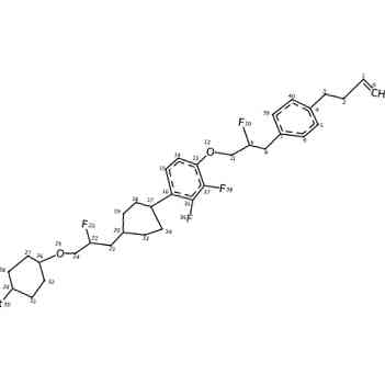 C=CCCc1ccc(CC(F)COc2ccc(C3CCC(CC(F)COC4CCC(CC)CC4)CC3)c(F)c2F)cc1